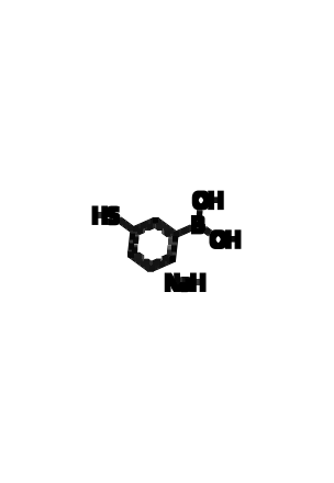 OB(O)c1cccc(S)c1.[NaH]